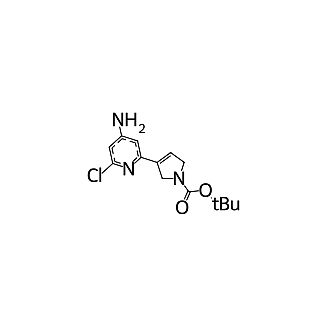 CC(C)(C)OC(=O)N1CC=C(c2cc(N)cc(Cl)n2)C1